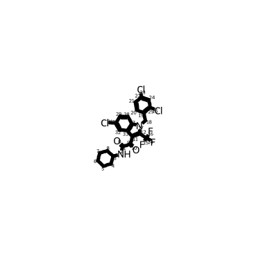 O=C(NC1CCCCC1)C(=O)c1c(C(F)(F)F)n(Cc2ccc(Cl)cc2Cl)c2ccc(Cl)cc12